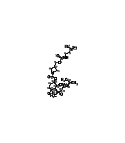 CCN(CC)CCNC(=O)OCC1CN(C(=O)O[C@@H]2CC[C@]3(CO3)C([C@@]3(C)O[C@@H]3CC=C(C)C)[C@@H]2OC)C1